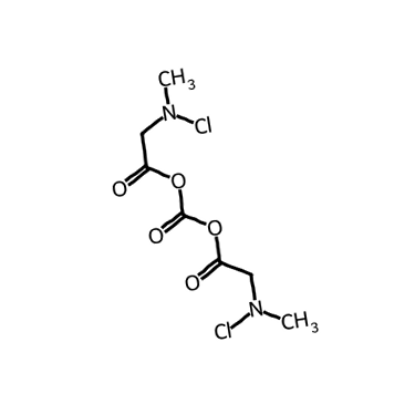 CN(Cl)CC(=O)OC(=O)OC(=O)CN(C)Cl